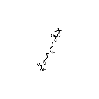 CC(C)(C)OC(=O)NCCCNCCCNC(=O)O